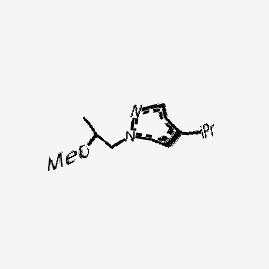 COC(C)Cn1cc(C(C)C)cn1